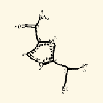 CCC(c1nc(C(N)=O)co1)C(C)C